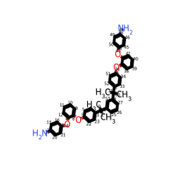 CC(C)(c1ccc(Oc2ccccc2Oc2ccc(N)cc2)cc1)c1cccc(C(C)(C)c2ccc(Oc3ccccc3Oc3ccc(N)cc3)cc2)c1